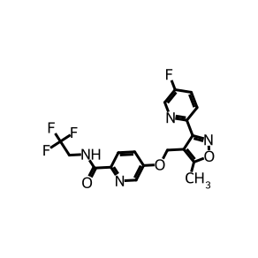 Cc1onc(-c2ccc(F)cn2)c1COc1ccc(C(=O)NCC(F)(F)F)nc1